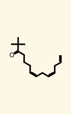 C=CC/C=C\C/C=C\CCCC(=O)C(C)(C)C